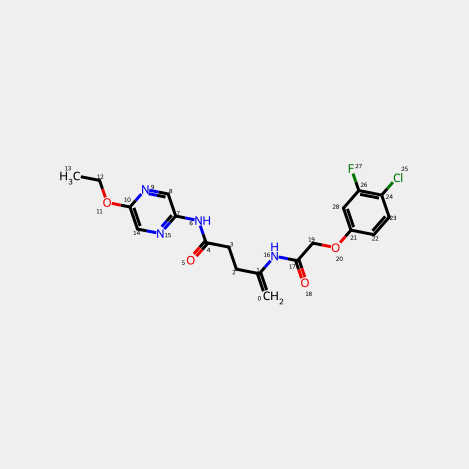 C=C(CCC(=O)Nc1cnc(OCC)cn1)NC(=O)COc1ccc(Cl)c(F)c1